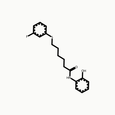 O=C(CCCCCSc1cccc(F)c1)Nc1ccccc1O